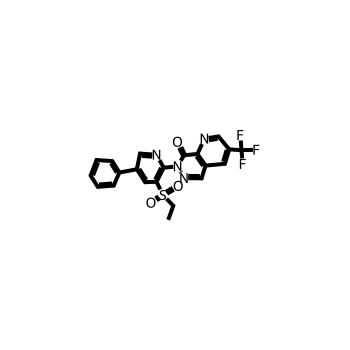 CCS(=O)(=O)c1cc(-c2ccccc2)cnc1-n1ncc2cc(C(F)(F)F)cnc2c1=O